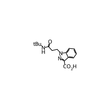 CC(C)(C)NC(=O)CCn1nc(C(=O)O)c2ccccc21